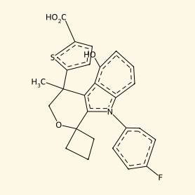 CC1(c2ccc(C(=O)O)s2)COC2(CCC2)c2c1c1c(O)cccc1n2-c1ccc(F)cc1